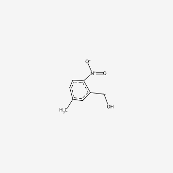 Cc1ccc([N+](=O)[O-])c([CH]O)c1